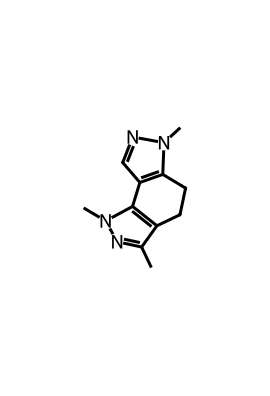 Cc1nn(C)c2c1CCc1c-2cnn1C